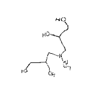 CN(CC(O)CO)CC(O)CO